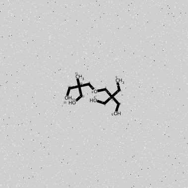 CCC(CO)(CO)COCC(C)(CO)CO